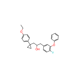 CCOc1ccc(C2(CC(O)Cc3ccc(F)c(Oc4ccccc4)c3)CC2)cc1